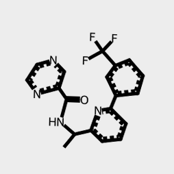 CC(NC(=O)c1cnccn1)c1cccc(-c2cccc(C(F)(F)F)c2)n1